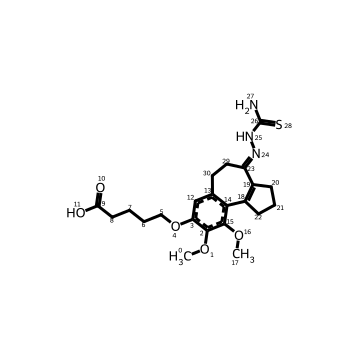 COc1c(OCCCCC(=O)O)cc2c(c1OC)C1=C(CCC1)C(=NNC(N)=S)CC2